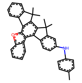 Cc1ccc(Nc2ccc3c(c2)C(C)(C)c2c4c(c5oc6ccccc6c5c2-3)-c2ccccc2C4(C)C)cc1